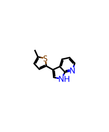 Cc1ccc(-c2c[nH]c3ncccc23)s1